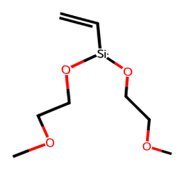 C=C[Si](OCCOC)OCCOC